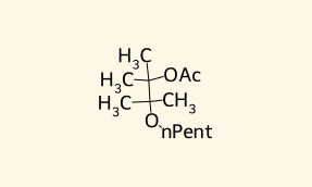 CCCCCOC(C)(C)C(C)(C)OC(C)=O